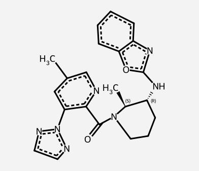 Cc1cnc(C(=O)N2CCC[C@@H](Nc3nc4ccccc4o3)[C@@H]2C)c(-n2nccn2)c1